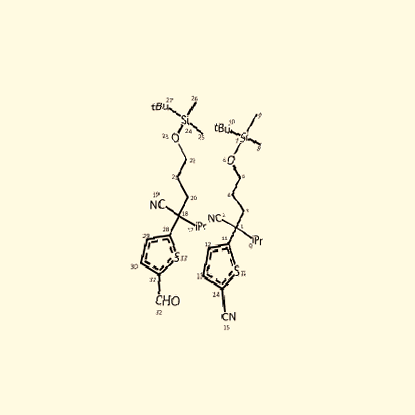 CC(C)C(C#N)(CCCO[Si](C)(C)C(C)(C)C)c1ccc(C#N)s1.CC(C)C(C#N)(CCCO[Si](C)(C)C(C)(C)C)c1ccc(C=O)s1